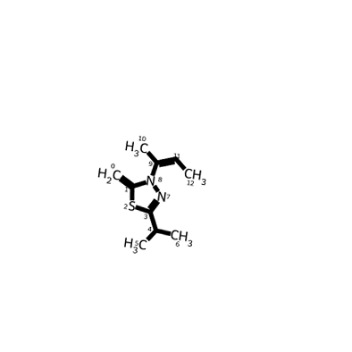 C=C1SC(C(C)C)=NN1/C(C)=C\C